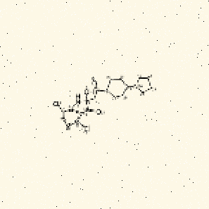 O=C(CC1(O)Nc2c(Cl)ccc(Cl)c2C1=O)C1CCC(N2CCCC2)CC1